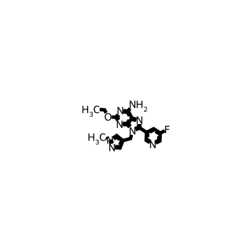 CCOc1nc(N)c2nc(-c3cncc(F)c3)n(Cc3cnn(C)c3)c2n1